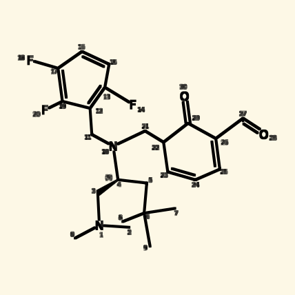 CN(C)C[C@H](CC(C)(C)C)N(Cc1c(F)ccc(F)c1F)CC1C=CC=C([C]=O)C1=O